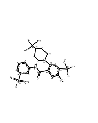 C[S@](=N)(=O)c1cccc(NC(=O)c2cc(Cl)c(C(F)(F)F)cc2N2CCC(C(F)(F)F)CC2)c1